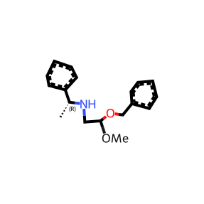 COC(CN[C@H](C)c1ccccc1)OCc1ccccc1